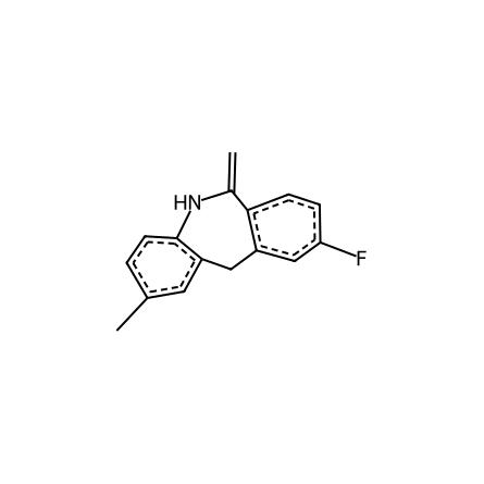 C=C1Nc2ccc(C)cc2Cc2cc(F)ccc21